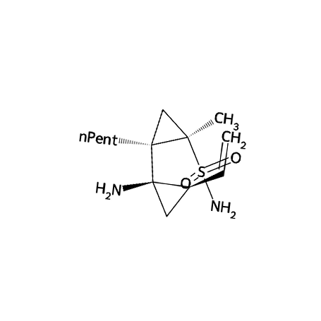 C=C[C@H]1C[C@]1(N)[C@@]1(CCCCC)C[C@@]1(C)S(N)(=O)=O